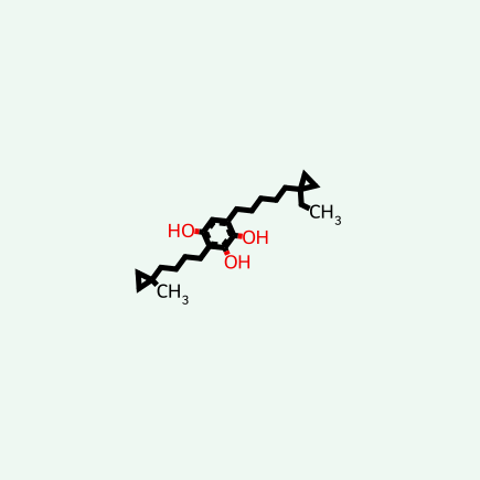 CCC1(CCCCCc2cc(O)c(CCCCC3(C)CC3)c(O)c2O)CC1